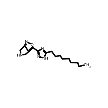 CCCCCCCCCc1nc(-c2onc3c2CNC3)n[nH]1